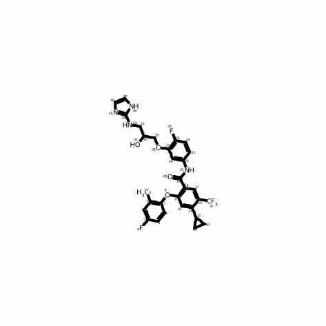 Cc1cc(F)ccc1Oc1cc(C2CC2)c(C(F)(F)F)cc1C(=O)Nc1ccc(F)c(OCC(O)CNc2ncc[nH]2)c1